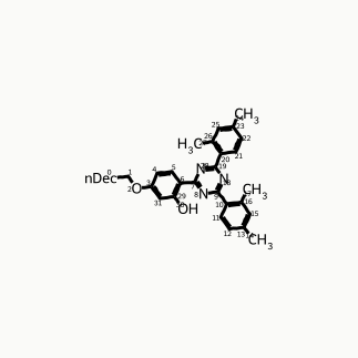 CCCCCCCCCCCOc1ccc(-c2nc(-c3ccc(C)cc3C)nc(-c3ccc(C)cc3C)n2)c(O)c1